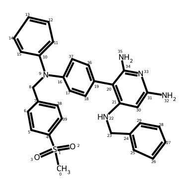 CS(=O)(=O)c1ccc(CN(c2ccccc2)c2ccc(-c3c(NCc4ccccc4)cc(N)nc3N)cc2)cc1